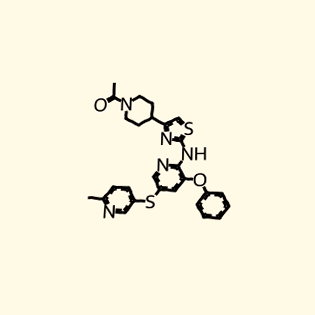 CC(=O)N1CCC(c2csc(Nc3ncc(Sc4ccc(C)nc4)cc3Oc3ccccc3)n2)CC1